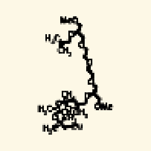 C=C(C)COC(COC)COCCOCCOCC(COC)OCC(C)C[Si](C)(C)O[Si](C)(C)O[Si](C)(C)CC(C)CC